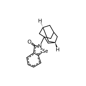 O=c1c2ccccc2[se]n1C12CC3C[C@H](C1)C[C@H](C3)C2